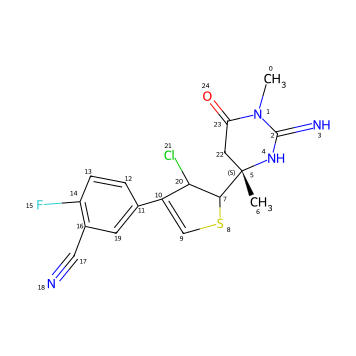 CN1C(=N)N[C@](C)(C2SC=C(c3ccc(F)c(C#N)c3)C2Cl)CC1=O